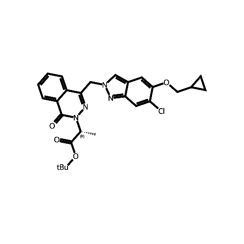 C[C@H](C(=O)OC(C)(C)C)n1nc(Cn2cc3cc(OCC4CC4)c(Cl)cc3n2)c2ccccc2c1=O